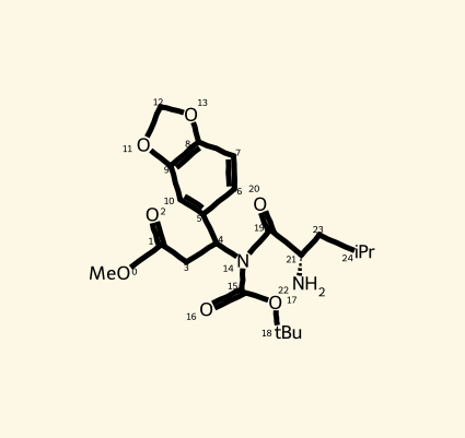 COC(=O)CC(c1ccc2c(c1)OCO2)N(C(=O)OC(C)(C)C)C(=O)[C@@H](N)CC(C)C